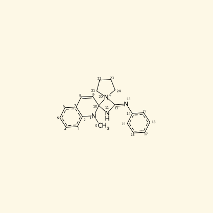 CN1c2ccccc2C=CC12NC(=Nc1ccccc1)[N+]21CCCC1